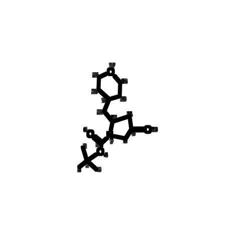 CC(C)(C)OC(=O)N1CC(=O)CC1CC1CCOCC1